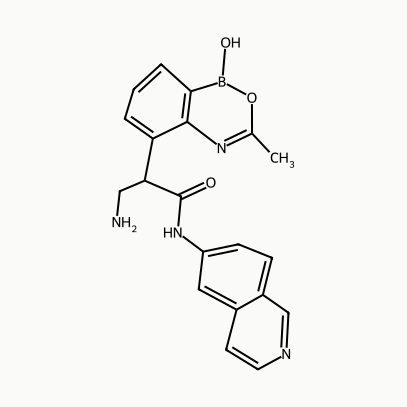 CC1=Nc2c(cccc2C(CN)C(=O)Nc2ccc3cnccc3c2)B(O)O1